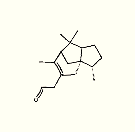 CC1=C(CC=O)C[C@]23CC1C(C)(C)C2CC[C@@H]3C